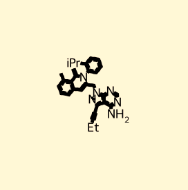 C=C1c2c(C)cccc2C=C(Cn2nc(C#CCC)c3c(N)ncnc32)N1c1ccccc1C(C)C